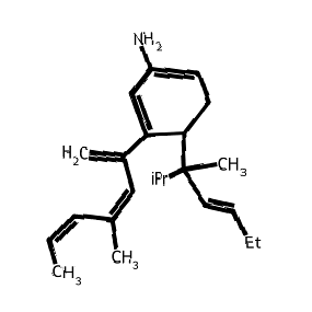 C=C(/C=C(C)\C=C/C)C1=CC(N)=CCC1C(C)(C=CCC)C(C)C